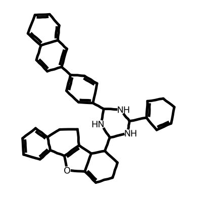 C1=CC(C2NC(c3ccc(-c4ccc5ccccc5c4)cc3)NC(C3CCC=C4OC5=C(CCc6ccccc65)C43)N2)=CCC1